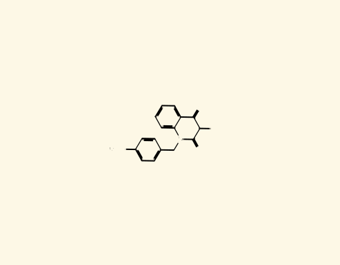 CCOC(=O)C1C(=O)c2ccccc2N(Cc2ccc(OC)cc2)C1=O